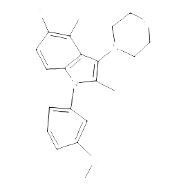 CSc1cccc(-n2c(C)c(N3CCOCC3)c3c(Cl)c(F)ccc32)c1